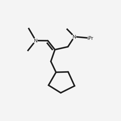 CC(C)N(C)C/C(=C/N(C)C)CC1CCCC1